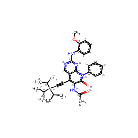 COc1ccccc1Nc1ncc2c(C#C[Si](C(C)C)(C(C)C)C(C)C)c(NC(C)=O)c(=O)n(-c3ccccc3)c2n1